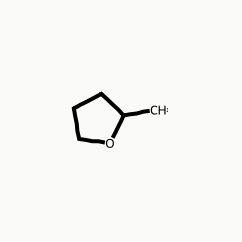 [CH]C1CCCO1